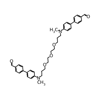 CN(CCCOCCOCCOCCCN(C)c1ccc(-c2ccc(C=O)cc2)cc1)c1ccc(-c2ccc(C=O)cc2)cc1